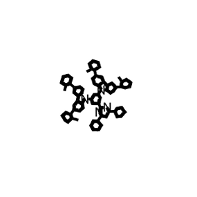 Cc1ccccc1-c1ccc2c(c1)c1cc(-c3ccccc3C)ccc1n2-c1cc(-c2nc(-c3ccccc3)cc(-c3ccccc3)n2)cc(-n2c3ccc(-c4ccccc4C)cc3c3cc(-c4ccccc4C)ccc32)c1